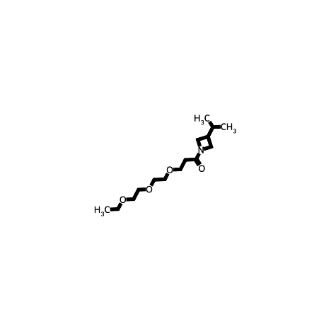 CCOCCOCCOCCC(=O)N1CC(C(C)C)C1